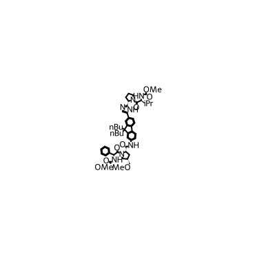 CCCCC1(CCCC)c2cc(NC(=O)[C@@H]3C[C@H](COC)CN3C(=O)[C@H](NC(=O)OC)c3ccccc3)ccc2-c2ccc(-c3cnc([C@@H]4CCCN4C(=O)[C@@H](NC(=O)OC)C(C)C)[nH]3)cc21